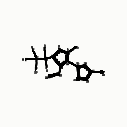 Cn1nc(C(F)(F)C(F)(F)F)c(C=O)c1-n1cc(Br)cn1